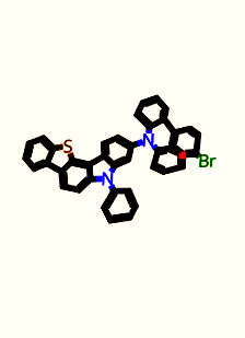 Brc1ccc(-c2ccccc2N(c2ccccc2)c2ccc3c4c5sc6ccccc6c5ccc4n(-c4ccccc4)c3c2)cc1